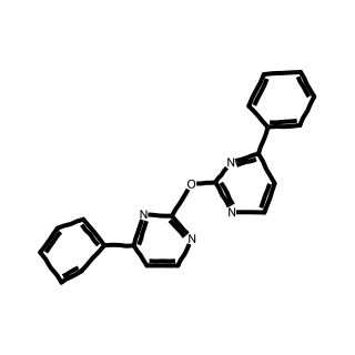 c1ccc(-c2ccnc(Oc3nccc(-c4ccccc4)n3)n2)cc1